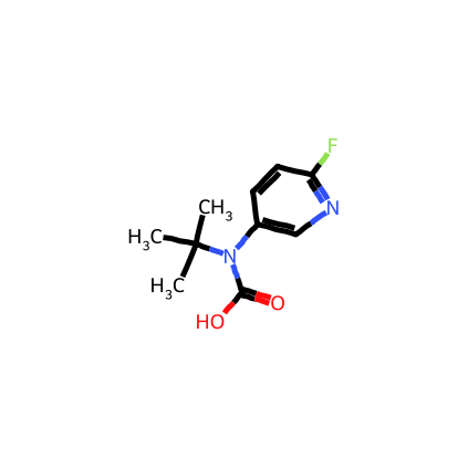 CC(C)(C)N(C(=O)O)c1ccc(F)nc1